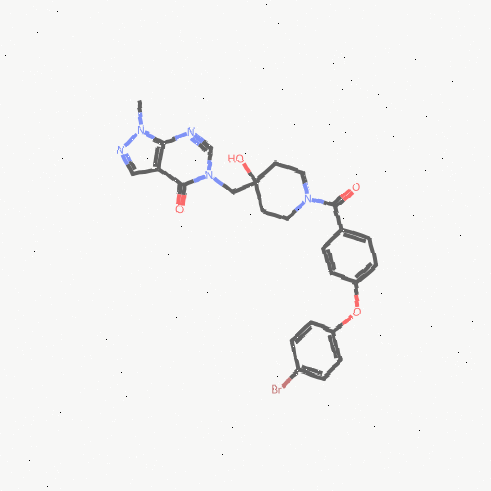 Cn1ncc2c(=O)n(CC3(O)CCN(C(=O)c4ccc(Oc5ccc(Br)cc5)cc4)CC3)cnc21